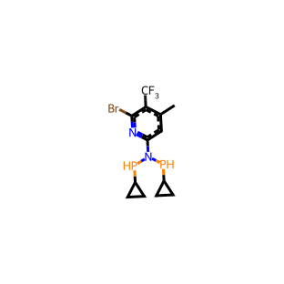 Cc1cc(N(PC2CC2)PC2CC2)nc(Br)c1C(F)(F)F